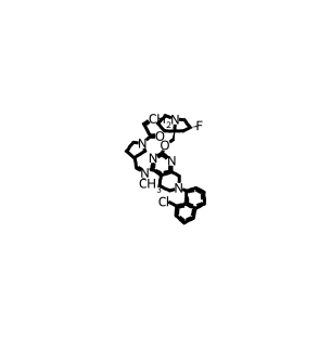 C=CC(=O)N1CCC(/C=[N+](/C)c2nc(OC[C@@]34CCCN3C[C@H](F)C4)nc3c2CCN(c2cccc4cccc(Cl)c24)C3)C1